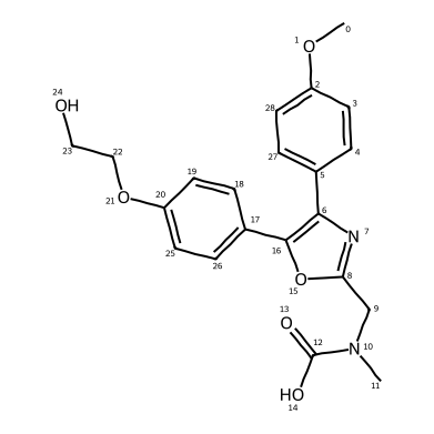 COc1ccc(-c2nc(CN(C)C(=O)O)oc2-c2ccc(OCCO)cc2)cc1